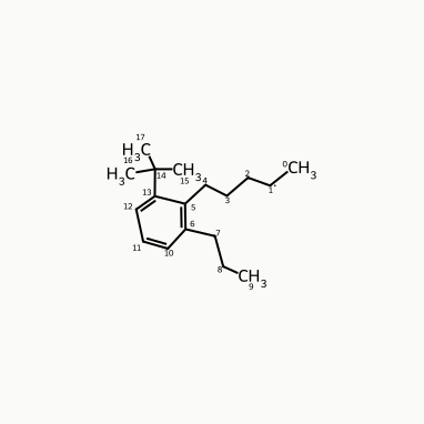 C[CH]CCCc1c(CCC)cccc1C(C)(C)C